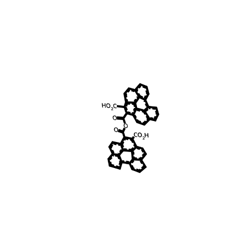 O=C(O)c1c(C(=O)OC(=O)c2c(C(=O)O)c3ccc4cccc5c6cccc7ccc2c(c76)c3c45)c2ccc3cccc4c5cccc6ccc1c(c65)c2c34